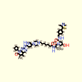 CC(=O)c1c(C)c2cnc(Nc3ccc(N4CCN(CCCCCCC(=O)NC(C(=O)N5C[C@H](O)C[C@H]5C(=O)NCc5ccc(-c6scnc6C)cc5)C(C)(C)C)CC4)cn3)nc2n(C2CCCC2)c1=O